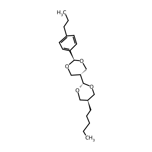 CCCCC[C@H]1CO[C@H]([C@H]2CO[C@H](c3ccc(CCC)cc3)OC2)OC1